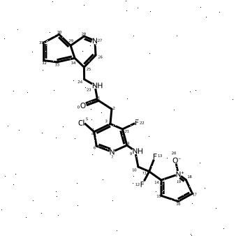 O=C(Cc1c(Cl)cnc(NCC(F)(F)c2cccc[n+]2[O-])c1F)NCc1cncc2ccccc12